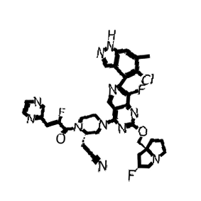 Cc1cc2[nH]ncc2c(-c2ncc3c(N4CCN(C(=O)/C(F)=C/c5cnccn5)[C@@H](CC#N)C4)nc(OC[C@@]45CCCN4C[C@H](F)C5)nc3c2F)c1Cl